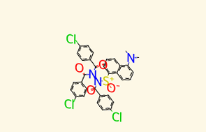 CN(C)c1cccc2c([S+]([O-])N(C(=O)c3ccc(Cl)cc3)N(C(=O)c3ccc(Cl)cc3)C(=O)c3ccc(Cl)cc3)cccc12